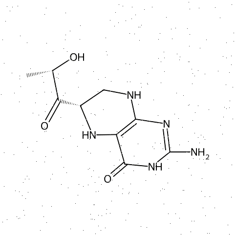 C[C@H](O)C(=O)[C@@H]1CNc2nc(N)[nH]c(=O)c2N1